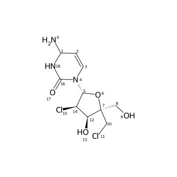 NC1C=CN([C@@H]2O[C@@](CO)(CCl)[C@@H](O)[C@H]2Cl)C(=O)N1